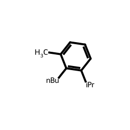 [CH2]CCCc1c(C)cccc1C(C)C